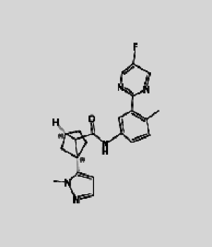 Cc1ccc(NC(=O)C2[C@@H]3CC[C@@]2(c2ccnn2C)C3)cc1-c1ncc(F)cn1